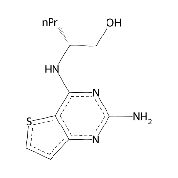 CCC[C@H](CO)Nc1nc(N)nc2ccsc12